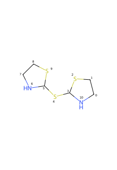 C1CSC(SC2NCCS2)N1